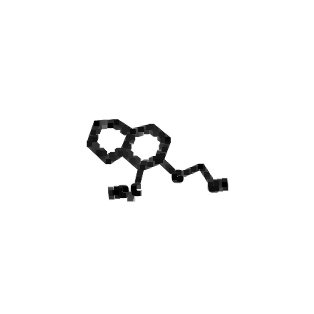 O=C(O)c1c(OCO)ccc2ccccc12